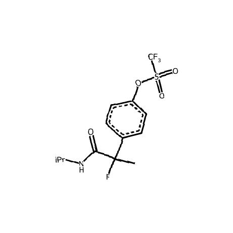 CC(C)NC(=O)C(C)(F)c1ccc(OS(=O)(=O)C(F)(F)F)cc1